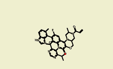 C=CC(=O)N1CC2COc3c(c4cc(F)c(-c5c(C)ccc6[nH]cnc56)c(Cl)c4n(-c4c(C(C)C)ncnc4C(C)C)c3=O)N2CC1C